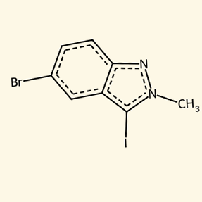 Cn1nc2ccc(Br)cc2c1I